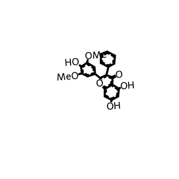 COc1cc(-c2oc3cc(O)cc(O)c3c(=O)c2-c2ccccc2)cc(OC)c1O